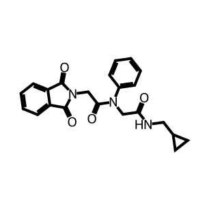 O=C(CN(C(=O)CN1C(=O)c2ccccc2C1=O)c1ccccc1)NCC1CC1